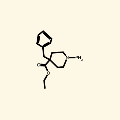 CCOC(=O)C1(Cc2ccccc2)CCN(P)CC1